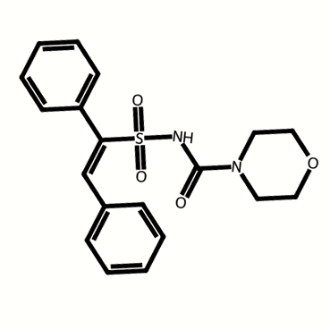 O=C(NS(=O)(=O)C(=Cc1ccccc1)c1ccccc1)N1CCOCC1